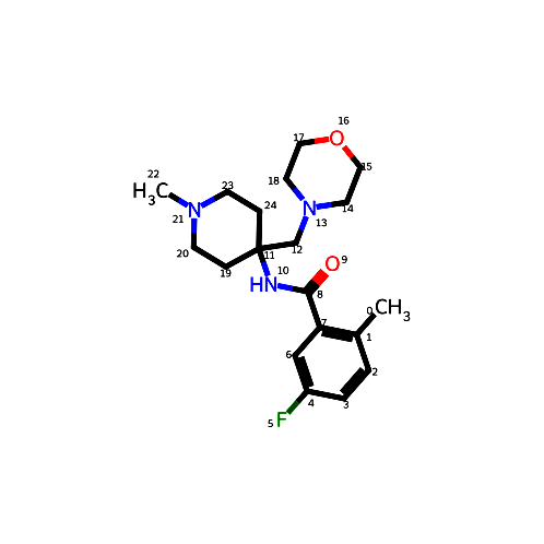 Cc1ccc(F)cc1C(=O)NC1(CN2CCOCC2)CCN(C)CC1